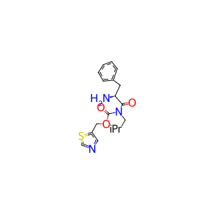 CC(C)CN(C(=O)OCc1cncs1)C(=O)[C@@H](N)Cc1ccccc1